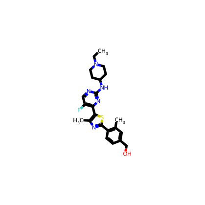 CCN1CCC(Nc2ncc(F)c(-c3sc(-c4ccc(CO)cc4C)nc3C)n2)CC1